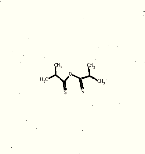 CC(C)C(=S)OC(=S)C(C)C